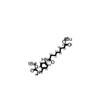 CN(Cc1ccc(NC(=O)CCCCCCC(=O)OC(C)(C)C)cc1)C(=O)OC(C)(C)C